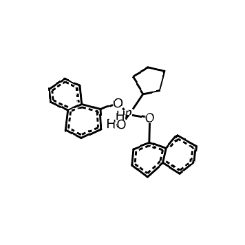 O[PH](Oc1cccc2ccccc12)(Oc1cccc2ccccc12)C1CCCC1